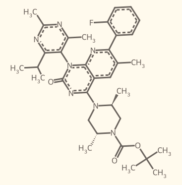 Cc1nc(C)c(-n2c(=O)nc(N3C[C@@H](C)N(C(=O)OC(C)(C)C)C[C@@H]3C)c3cc(C)c(-c4ccccc4F)nc32)c(C(C)C)n1